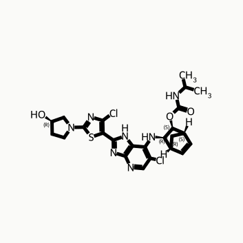 CC(C)NC(=O)O[C@@H]1[C@H](Nc2c(Cl)cnc3nc(-c4sc(N5CC[C@@H](O)C5)nc4Cl)[nH]c23)[C@H]2C=C[C@@H]1C2